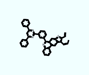 C=Cc1sc2cc3c(-c4cccc(-c5nc(-c6ccccc6)cc(-c6ccccc6)n5)c4)nc4ccccc4c3cc2c1/C=C\C